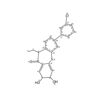 CCC1C(=O)C2=CC(O)C(O)C=C2Sc2cc(-c3cccc(Cl)c3)ccc21